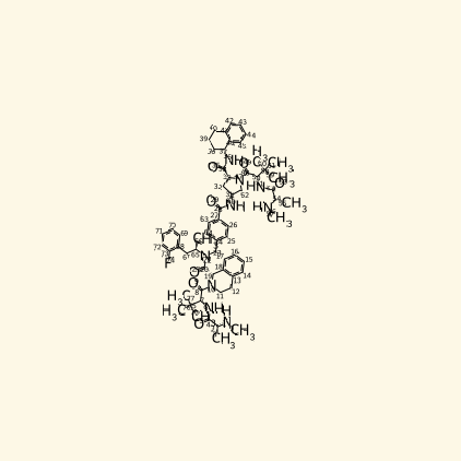 CN[C@@H](C)C(=O)N[C@H](C(=O)N1CCc2ccccc2[C@H]1C(=O)N(Cc1ccc(C(=O)N[C@H]2C[C@@H](C(=O)N[C@@H]3CCCc4ccccc43)N(C(=O)[C@@H](NC(=O)[C@H](C)NC)C(C)(C)C)C2)cc1)[C@H](C)Cc1ccccc1F)C(C)(C)C